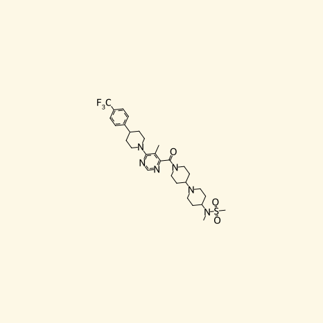 Cc1c(C(=O)N2CCC(N3CCC(N(C)S(C)(=O)=O)CC3)CC2)ncnc1N1CCC(c2ccc(C(F)(F)F)cc2)CC1